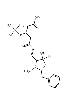 COC(=O)C[C@@H](CC(=O)/C=C/[C@@H]1N(C(=O)O)C(Cc2ccccc2)SC1(C)C)O[Si](C)(C)C(C)(C)C